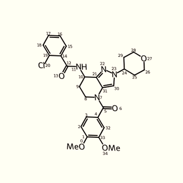 COc1ccc(C(=O)N2CCC(NC(=O)c3ccccc3Cl)c3nn(C4CCOCC4)cc32)cc1OC